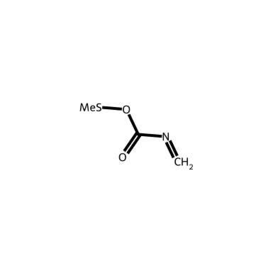 C=NC(=O)OSC